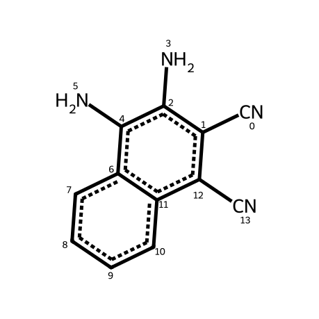 N#Cc1c(N)c(N)c2ccccc2c1C#N